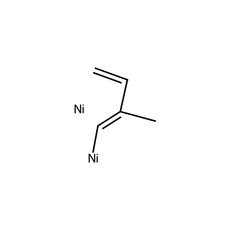 C=CC(C)=[CH][Ni].[Ni]